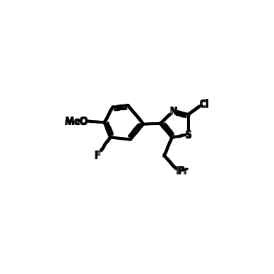 COc1ccc(-c2nc(Cl)sc2CC(C)C)cc1F